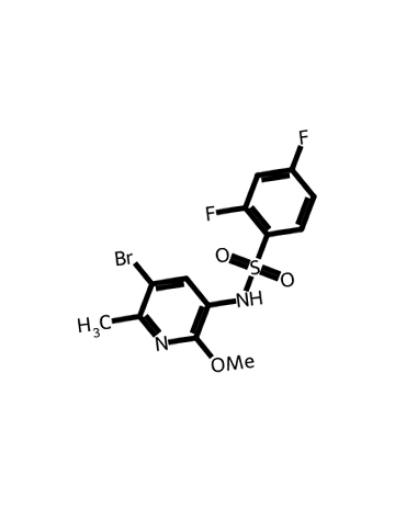 COc1nc(C)c(Br)cc1NS(=O)(=O)c1ccc(F)cc1F